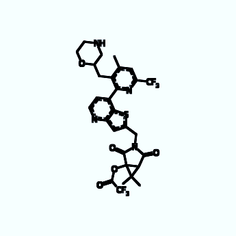 Cc1cc(C(F)(F)F)nc(-c2ccnc3cc(CN4C(=O)C5C(C)(C)C5(OC(=O)C(F)(F)F)C4=O)sc23)c1CC1CNCCO1